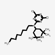 CCCCCCCCN(c1nc(Cl)nc(Cl)n1)C1CC(C)(C)NC(C)(C)C1